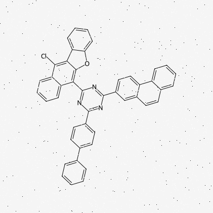 Clc1c2ccccc2c(-c2nc(-c3ccc(-c4ccccc4)cc3)nc(-c3ccc4c(ccc5ccccc54)c3)n2)c2oc3ccccc3c12